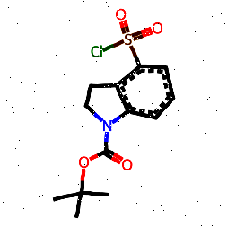 CC(C)(C)OC(=O)N1CCc2c1cccc2S(=O)(=O)Cl